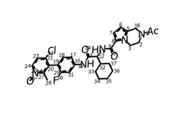 CC(=O)N1CCn2c(ccc2C(=O)NC(C(=O)Nc2ccc(-c3c(Cl)cc[n+]([O-])c3C)c(F)c2)C2CCCCC2)C1